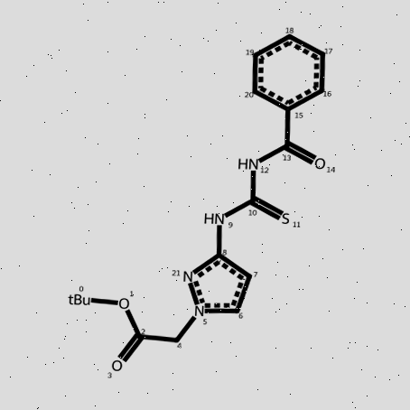 CC(C)(C)OC(=O)Cn1ccc(NC(=S)NC(=O)c2ccccc2)n1